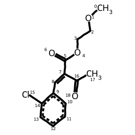 COCCOC(=O)/C(=C/c1ccccc1Cl)C(C)=O